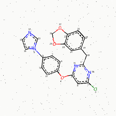 Clc1cc(Oc2ccc(-n3ccnc3)cc2)nc(Cc2ccc3c(c2)OCO3)n1